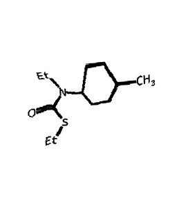 CCSC(=O)N(CC)C1CCC(C)CC1